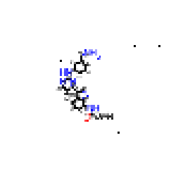 COC(=O)Nc1cccc2c(-c3nc(Nc4cccc(CN)c4)ncc3C(F)(F)F)c[nH]c12